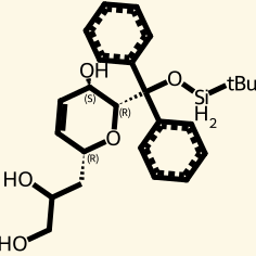 CC(C)(C)[SiH2]OC(c1ccccc1)(c1ccccc1)[C@@H]1O[C@H](CC(O)CO)C=C[C@@H]1O